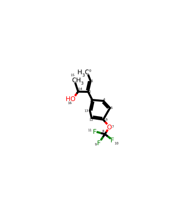 C/C=C(/c1ccc(OC(F)(F)F)cc1)C(C)O